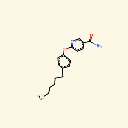 CCCCCCc1ccc(Oc2ccc(C(N)=O)cn2)cc1